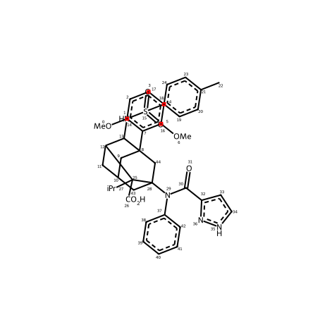 COc1cccc(OC)c1C12CC3CC(C1NS(=O)(=O)c1ccc(C)cc1)C(C(=O)O)(C(C)C)C(N(C(=O)c1cc[nH]n1)c1ccccc1)(C3)C2